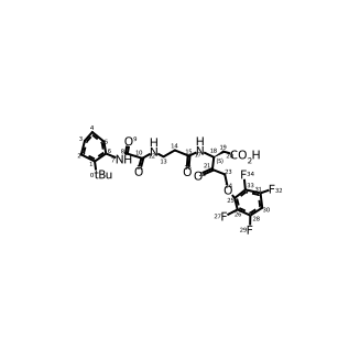 CC(C)(C)c1ccccc1NC(=O)C(=O)NCCC(=O)N[C@@H](CC(=O)O)C(=O)COc1c(F)c(F)cc(F)c1F